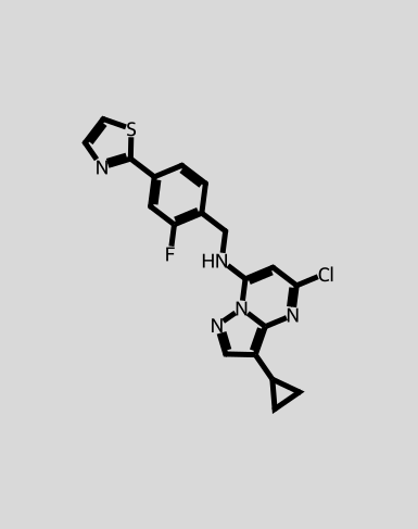 Fc1cc(-c2nccs2)ccc1CNc1cc(Cl)nc2c(C3CC3)cnn12